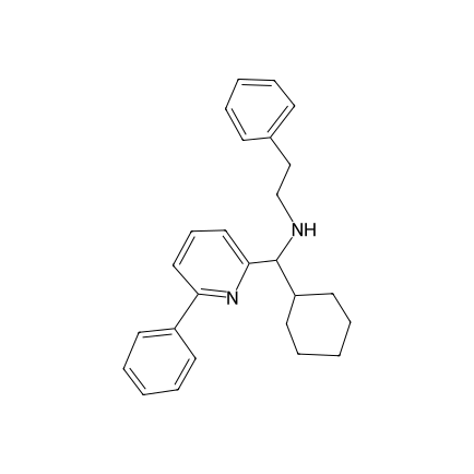 c1ccc(CCNC(c2cccc(-c3ccccc3)n2)C2CCCCC2)cc1